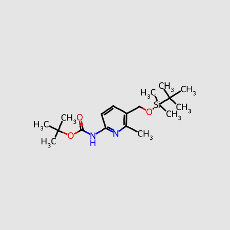 Cc1nc(NC(=O)OC(C)(C)C)ccc1CO[Si](C)(C)C(C)(C)C